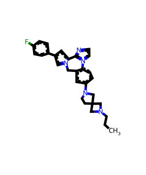 CCCN1CC2(CCN(c3ccc4c(c3)Cn3cc(-c5ccc(F)cc5)cc3-c3nccn3-4)C2)C1